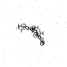 Cn1c(CN[C@H]2CC[C@@](C)(O)CC2)cc2cc(NC(=O)c3ccc(OC[C@@H]4CCCO4)cc3)ccc21